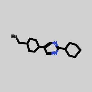 CCC(C)CC1CCC(c2cnc(C3CCCCC3)nc2)CC1